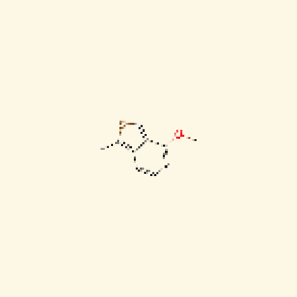 COc1cccc2c(C)s[c]c12